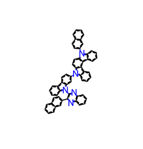 c1ccc2cc(-c3nc4ccccc4nc3-n3c4ccccc4c4ccc(-n5c6ccccc6c6c7c8ccccc8n(-c8ccc9ccccc9c8)c7ccc65)cc43)ccc2c1